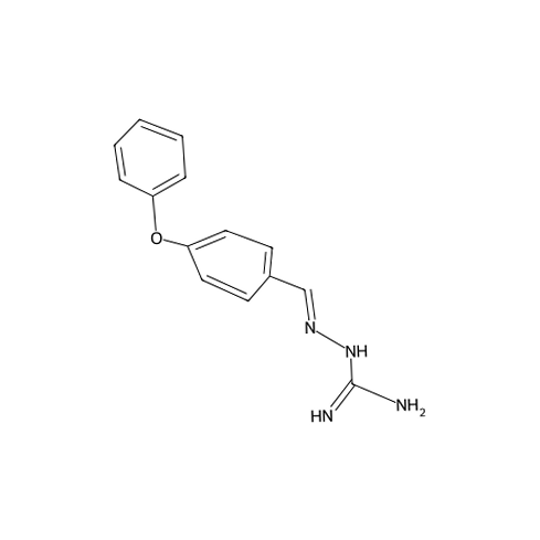 N=C(N)N/N=C/c1ccc(Oc2ccccc2)cc1